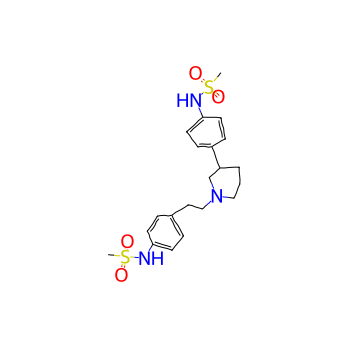 CS(=O)(=O)Nc1ccc(CCN2CCCC(c3ccc(NS(C)(=O)=O)cc3)C2)cc1